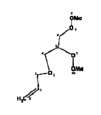 C=CCOCC(COOC)OOC